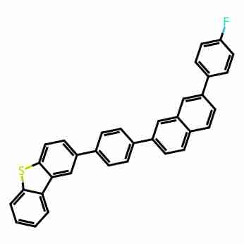 Fc1ccc(-c2ccc3ccc(-c4ccc(-c5ccc6sc7ccccc7c6c5)cc4)cc3c2)cc1